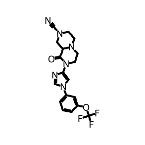 N#CN1CCN2CCN(c3cn(-c4cccc(OC(F)(F)F)c4)cn3)C(=O)C2C1